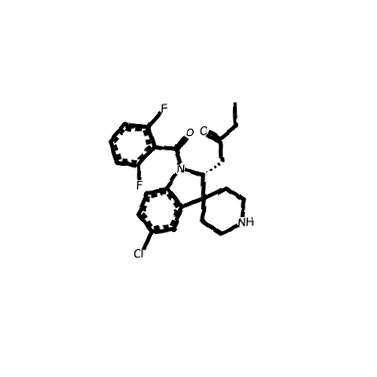 CCC(=O)C[C@H]1N(C(=O)c2c(F)cccc2F)c2ccc(Cl)cc2C12CCNCC2